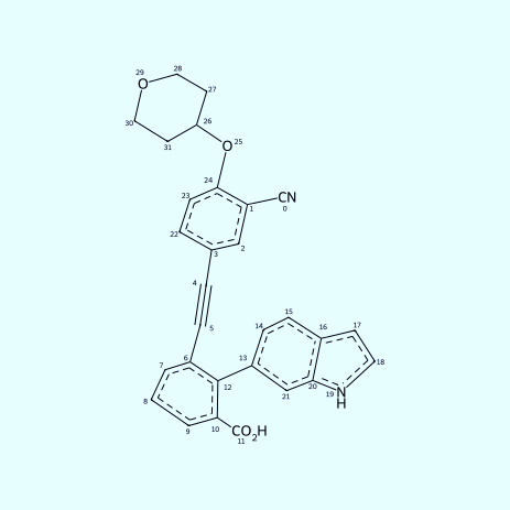 N#Cc1cc(C#Cc2cccc(C(=O)O)c2-c2ccc3cc[nH]c3c2)ccc1OC1CCOCC1